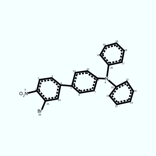 O=[N+]([O-])c1ccc(-c2ccc(N(c3ccccc3)c3ccccc3)cc2)cc1Br